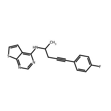 CC(CC#Cc1ccc(F)cc1)Nc1ncnc2sccc12